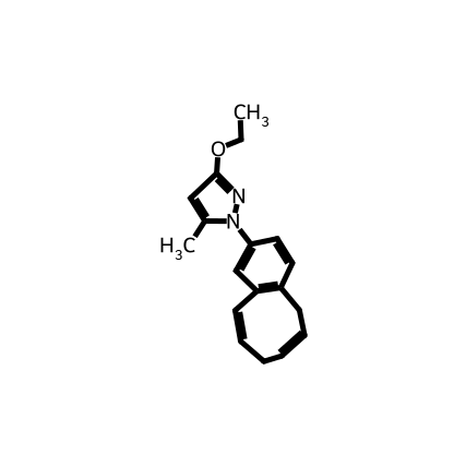 CCOc1cc(C)n(-c2ccc3c(c2)/C=C\C/C=C\C3)n1